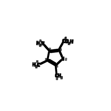 Cc1sc(C(=O)O)c(N)c1C